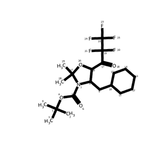 CC(C)(C)OC(=O)N1C(CC2CCCCC2)C(C(=O)C(F)(F)C(F)(F)F)OC1(C)C